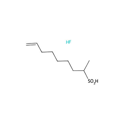 C=CCCCCCC(C)S(=O)(=O)O.F